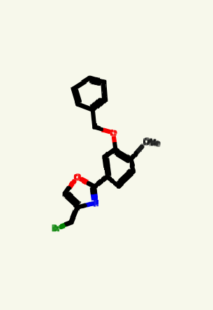 COc1ccc(-c2nc(CBr)co2)cc1OCc1ccccc1